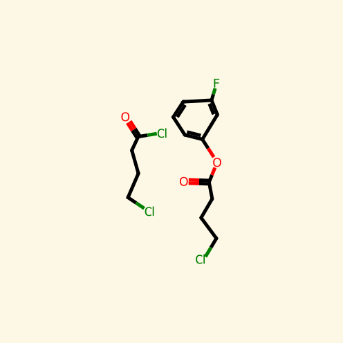 O=C(CCCCl)Oc1cccc(F)c1.O=C(Cl)CCCCl